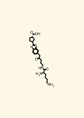 NCCCCC(N)C(=O)NCCCC(=O)Cc1ccc2nc(C3CC[C@H](C(=O)O)C3)sc2c1